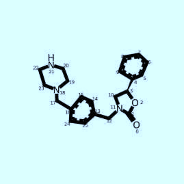 O=C1O[C@H](c2ccccc2)CN1Cc1ccc(CN2CCNCC2)cc1